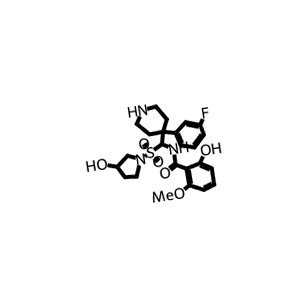 COc1cccc(O)c1C(=O)NC(C1(c2cccc(F)c2)CCNCC1)S(=O)(=O)N1CCC(O)C1